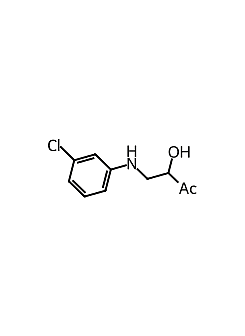 CC(=O)C(O)CNc1cccc(Cl)c1